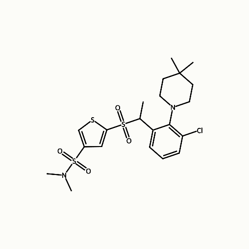 CC(c1cccc(Cl)c1N1CCC(C)(C)CC1)S(=O)(=O)c1cc(S(=O)(=O)N(C)C)cs1